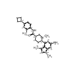 Cc1nc(N2CCC2)ccc1NC(=O)N1CCN(c2nc(N)nc3c2c(C)nn3C)[C@@H](C)C1